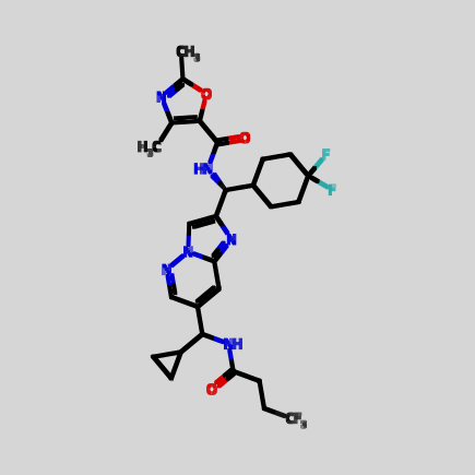 Cc1nc(C)c(C(=O)N[C@H](c2cn3ncc(C(NC(=O)CCC(F)(F)F)C4CC4)cc3n2)C2CCC(F)(F)CC2)o1